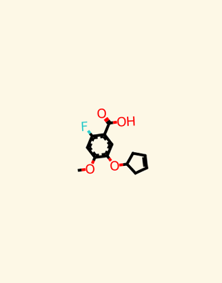 COc1cc(F)c(C(=O)O)cc1OC1CC=CC1